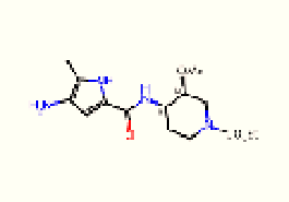 CCOC(=O)N1CC[C@@H](NC(=O)c2cc(N)c(C)[nH]2)[C@@H](OC)C1